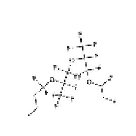 CCCC(F)(F)OC(F)(C(F)(F)F)C(F)(F)OC(F)(C(F)(F)F)C(F)(F)OC(F)CF